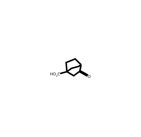 O=C1CC2(C(=O)O)CCC1CC2